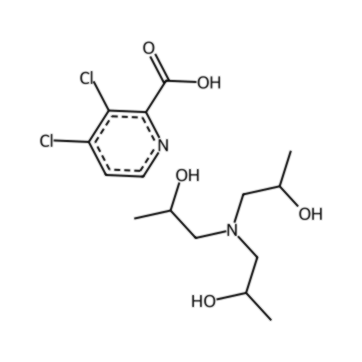 CC(O)CN(CC(C)O)CC(C)O.O=C(O)c1nccc(Cl)c1Cl